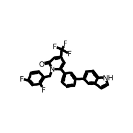 O=c1cc(C(F)(F)F)cc(-c2cccc(-c3ccc4[nH]ccc4c3)c2)n1Cc1ccc(F)cc1F